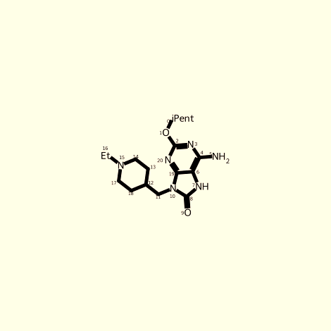 CCCC(C)Oc1nc(N)c2[nH]c(=O)n(CC3CCN(CC)CC3)c2n1